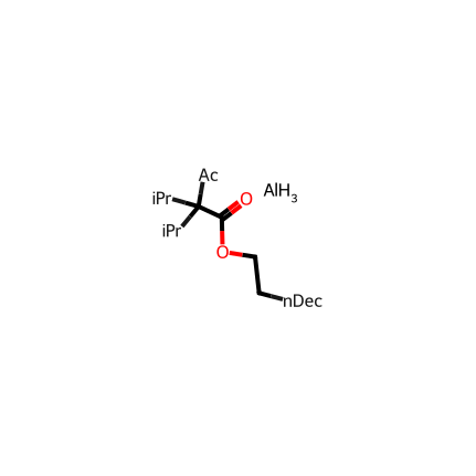 CCCCCCCCCCCCOC(=O)C(C(C)=O)(C(C)C)C(C)C.[AlH3]